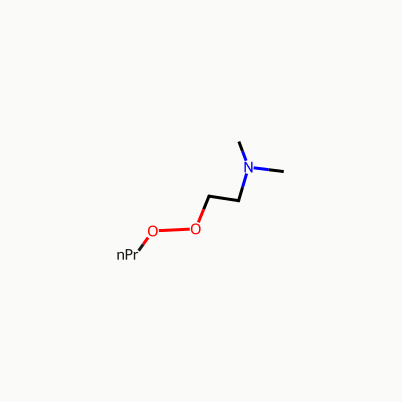 CCCOOCCN(C)C